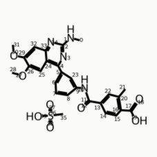 CNc1nc(-c2cccc(NC(=O)c3ccc(C(=O)O)c(C)c3)c2)c2cc(OC)c(OC)cc2n1.CS(=O)(=O)O